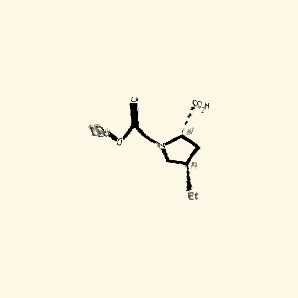 CC[C@@H]1C[C@@H](C(=O)O)N(C(=O)OC(C)(C)C)C1